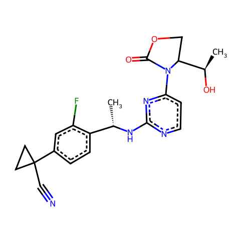 C[C@H](Nc1nccc(N2C(=O)OCC2[C@@H](C)O)n1)c1ccc(C2(C#N)CC2)cc1F